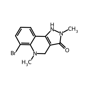 CN1Cc2c([nH]n(C)c2=O)-c2cccc(Br)c21